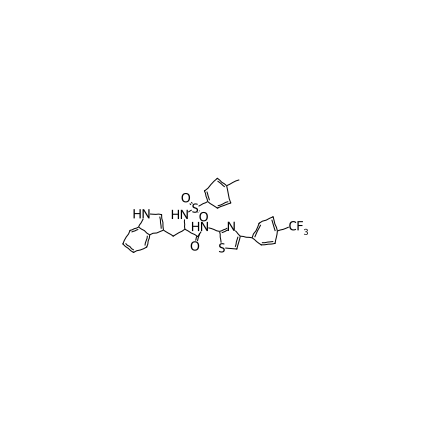 Cc1ccc(S(=O)(=O)NC(Cc2c[nH]c3ccccc23)C(=O)Nc2nc(-c3ccc(C(F)(F)F)cc3)cs2)cc1